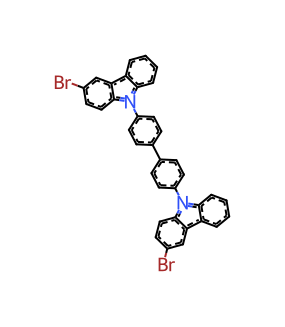 Brc1ccc2c(c1)c1ccccc1n2-c1ccc(-c2ccc(-n3c4ccccc4c4cc(Br)ccc43)cc2)cc1